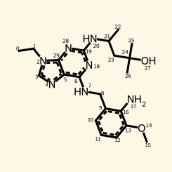 CCn1cnc2c(NCc3cccc(OC)c3N)nc(NC(C)CC(C)(C)O)nc21